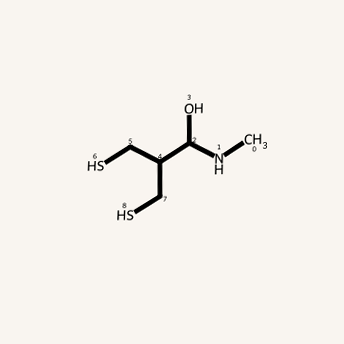 CNC(O)C(CS)CS